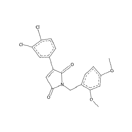 COc1ccc(CN2C(=O)C=C(c3ccc(Cl)c(Cl)c3)C2=O)c(OC)c1